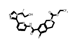 C[C@H](CO)n1cnnc1-c1cccc(NC(=O)c2cc3c(cc2F)CCN(C(=O)OCC(F)(F)F)C3)n1